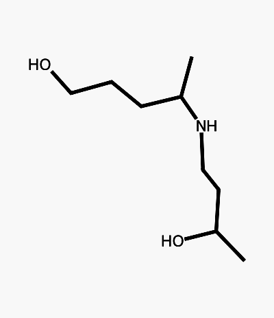 CC(O)CCNC(C)CCCO